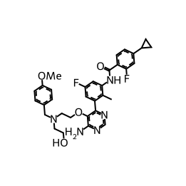 COc1ccc(CN(CCO)CCOc2c(N)ncnc2-c2cc(F)cc(NC(=O)c3ccc(C4CC4)cc3F)c2C)cc1